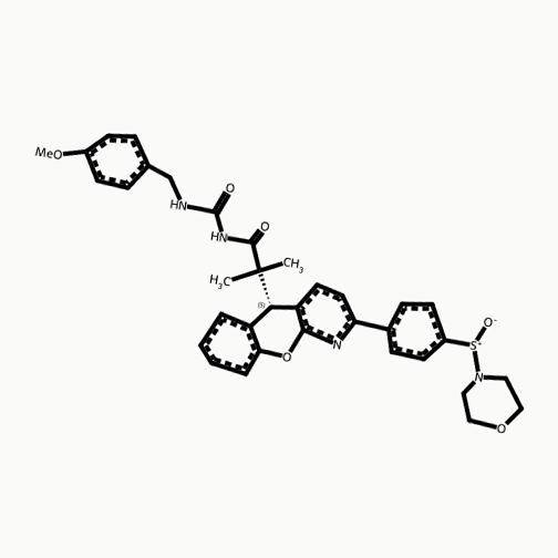 COc1ccc(CNC(=O)NC(=O)C(C)(C)[C@H]2c3ccccc3Oc3nc(-c4ccc([S+]([O-])N5CCOCC5)cc4)ccc32)cc1